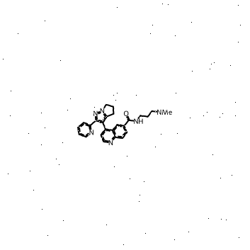 CNCCCNC(=O)c1ccc2nccc(-c3c(-c4ccccn4)nn4c3CCC4)c2c1